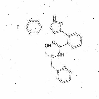 O=C(N[C@@H](CO)Cc1ccccn1)c1ccccc1-c1cc(-c2ccc(F)cc2)[nH]n1